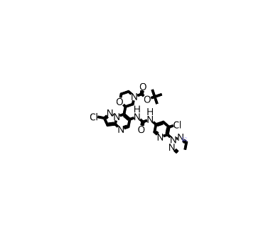 C=NN(/N=C\C)c1ncc(NC(=O)Nc2cnc3cc(Cl)nn3c2C2CN(C(=O)OC(C)(C)C)CCO2)cc1Cl